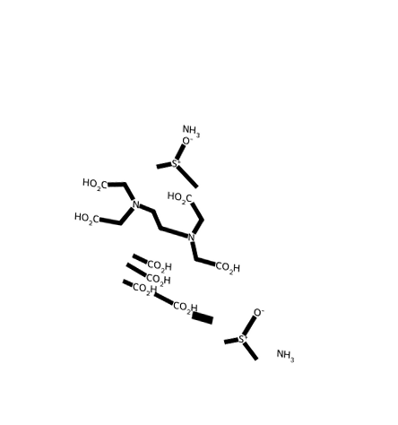 C=C.CC(=O)O.CC(=O)O.CC(=O)O.CC(=O)O.C[S+](C)[O-].C[S+](C)[O-].N.N.O=C(O)CN(CCN(CC(=O)O)CC(=O)O)CC(=O)O